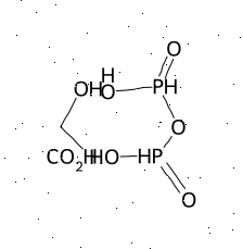 O=C(O)CO.O=[PH](O)O[PH](=O)O